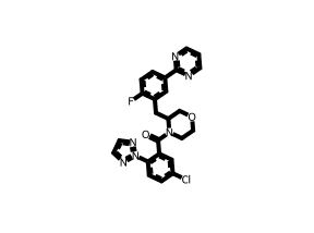 O=C(c1cc(Cl)ccc1-n1nccn1)N1CCOCC1Cc1cc(-c2ncccn2)ccc1F